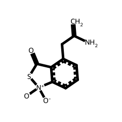 C=C(N)Cc1cccc2c1C(=O)S[N+]2([O-])[O-]